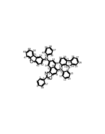 c1ccc(-c2nc3c(cc(N(c4ccccc4)c4cccc5c4sc4ccccc45)c4ccc(N(c5ccccc5)c5ccc6oc7ccccc7c6c5)cc43)o2)cc1